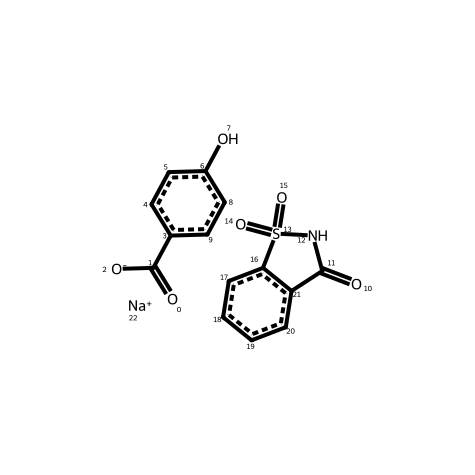 O=C([O-])c1ccc(O)cc1.O=C1NS(=O)(=O)c2ccccc21.[Na+]